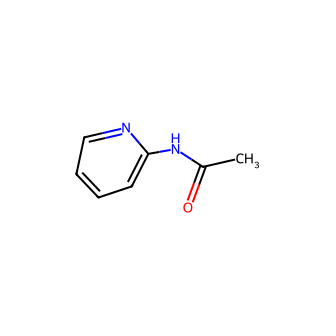 CC(=O)Nc1ccccn1